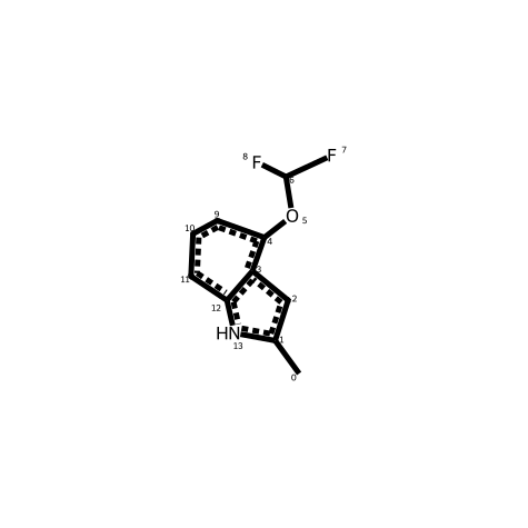 Cc1cc2c(OC(F)F)cccc2[nH]1